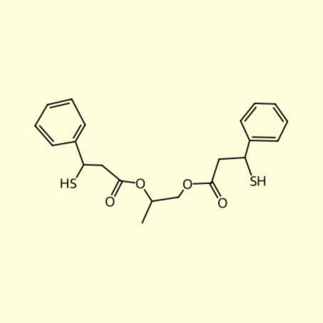 CC(COC(=O)CC(S)c1ccccc1)OC(=O)CC(S)c1ccccc1